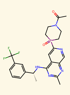 CC(=O)N1CCP(=O)(c2cc3c(N[C@H](C)c4cccc(C(F)(F)F)c4)nc(C)nc3cn2)CC1